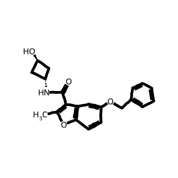 Cc1oc2ccc(OCc3ccccc3)cc2c1C(=O)N[C@H]1C[C@H](O)C1